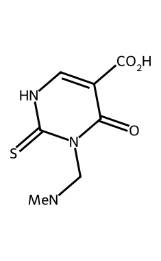 CNCn1c(=S)[nH]cc(C(=O)O)c1=O